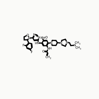 C=CC(=O)Nc1cc(Nc2cc(N3OCCC3c3ccc(F)cc3F)ncn2)c(OC)cc1N1CCC(N2CCN(CCN(C)C)CC2)CC1